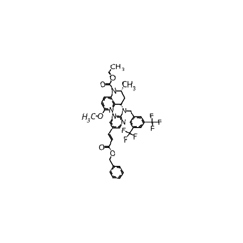 CCOC(=O)N1c2ccc(OC)nc2[C@@H](N(Cc2cc(C(F)(F)F)cc(C(F)(F)F)c2)c2ncc(/C=C/C(=O)OCc3ccccc3)cn2)C[C@H]1C